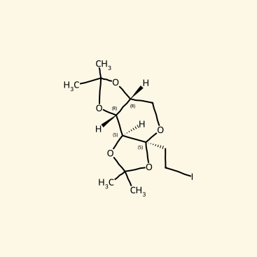 CC1(C)O[C@@H]2[C@@H](CO[C@@]3(CCI)OC(C)(C)O[C@@H]23)O1